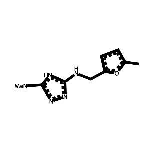 CNc1nnc(NCc2ccc(C)o2)[nH]1